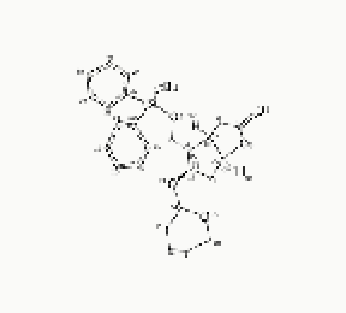 CC(C)(C)[Si](OC[C@@H]1[C@H]2CC(=O)O[C@H]2C[C@H]1OC1CCCCO1)(c1ccccc1)c1ccccc1